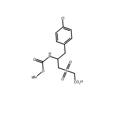 CC(C)(C)OC(=O)NC(Cc1ccc(Cl)cc1)CS(=O)(=O)CC(=O)O